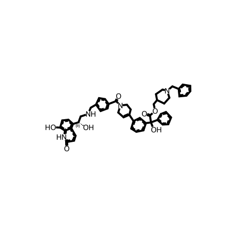 O=C(c1ccc(CNC[C@H](O)c2ccc(O)c3[nH]c(=O)ccc23)cc1)N1CC=C(c2cccc(C(O)(C(=O)OCC3CCN(Cc4ccccc4)CC3)c3ccccc3)c2)CC1